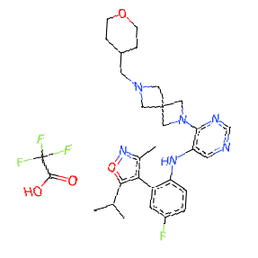 Cc1noc(C(C)C)c1-c1cc(F)ccc1Nc1cncnc1N1CC2(CN(CC3CCOCC3)C2)C1.O=C(O)C(F)(F)F